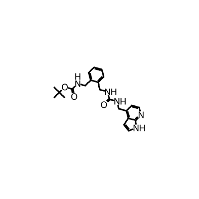 CC(C)(C)OC(=O)NCc1ccccc1CNC(=O)NCc1ccnc2[nH]ccc12